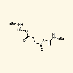 CCCCNNOC(=O)CCC(=O)ONNCCCC